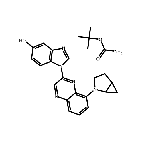 CC(C)(C)OC(N)=O.Oc1ccc2c(c1)ncn2-c1cnc2cccc(N3CCC4CC43)c2n1